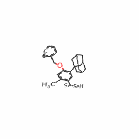 Cc1cc(OCc2ccccc2)c(C23CC4CC(CC(C4)C2)C3)cc1[Se][SeH]